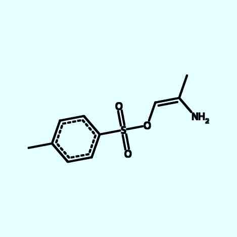 CC(N)=COS(=O)(=O)c1ccc(C)cc1